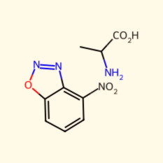 CC(N)C(=O)O.O=[N+]([O-])c1cccc2onnc12